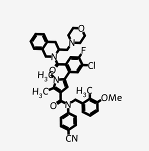 COc1cccc(CN(C(=O)c2cc(-c3cc(Cl)c(F)cc3C(=O)N3Cc4ccccc4CC3CN3CCOCC3)n(C)c2C)c2ccc(C#N)cc2)c1C